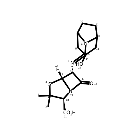 CC1(C)S[C@@H]2[C@H](N=CN3C4CCC3CC(O)C4)C(=O)N2[C@H]1C(=O)O